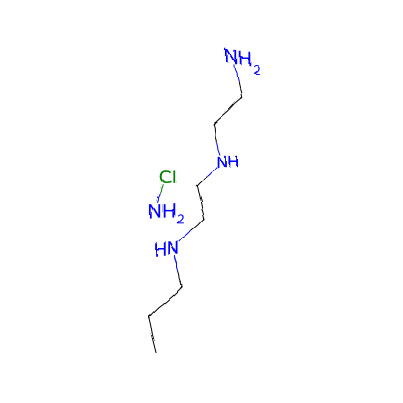 CCCNCCNCCN.NCl